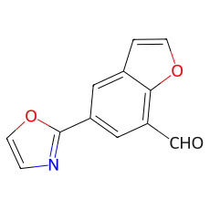 O=Cc1cc(-c2ncco2)cc2ccoc12